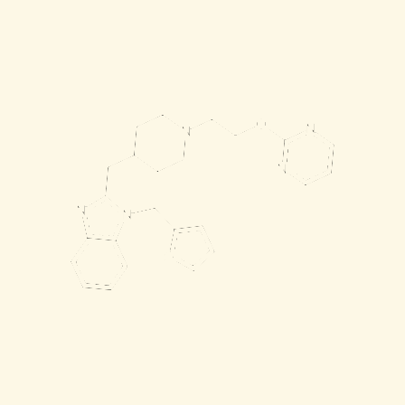 c1cnc(OCCN2CCC(Cc3nc4ccccc4n3Cc3ccco3)CC2)nc1